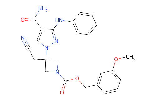 COc1cccc(COC(=O)N2CC(CC#N)(n3cc(C(N)=O)c(Nc4ccccc4)n3)C2)c1